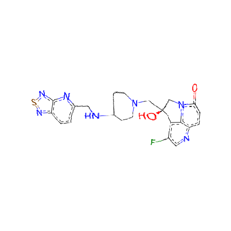 O=c1ccc2ncc(F)c3c2n1C[C@@]3(O)CN1CCC(NCc2ccc3nsnc3n2)CC1